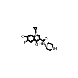 O=C(NN1CCNCC1)c1cn(C2CC2)c2cc(Cl)c(F)cc2c1=O